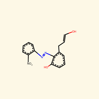 O=[N+]([O-])c1ccccc1N=Nc1c(O)cccc1CC=CO